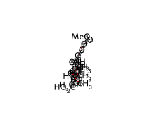 COC(=O)CCOCCOCCOCCNC(=O)[C@H]1CC[C@]2(C)[C@H]3C(=O)C=C4[C@@H]5C[C@@](C)(C(=O)O)CC[C@]5(C)CC[C@@]4(C)[C@]3(C)CC[C@H]2C1(C)C